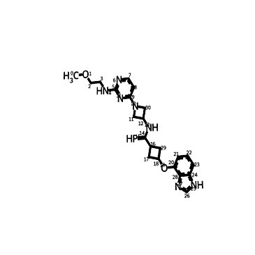 COCCNc1nccc(N2CC(NC(=P)C3CC(Oc4cccc5[nH]cnc45)C3)C2)n1